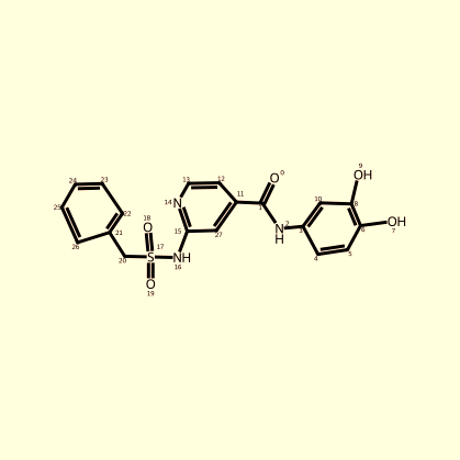 O=C(Nc1ccc(O)c(O)c1)c1ccnc(NS(=O)(=O)Cc2ccccc2)c1